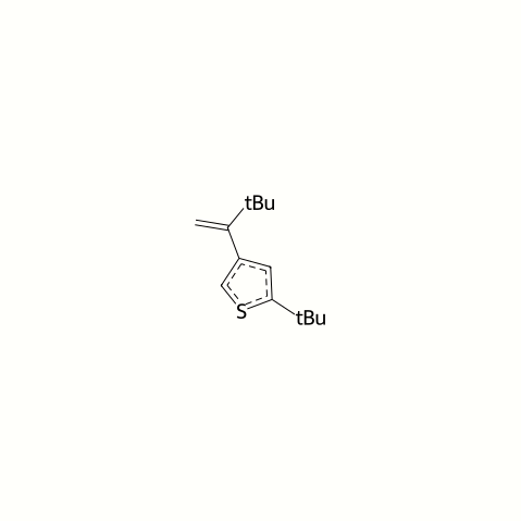 C=C(c1csc(C(C)(C)C)c1)C(C)(C)C